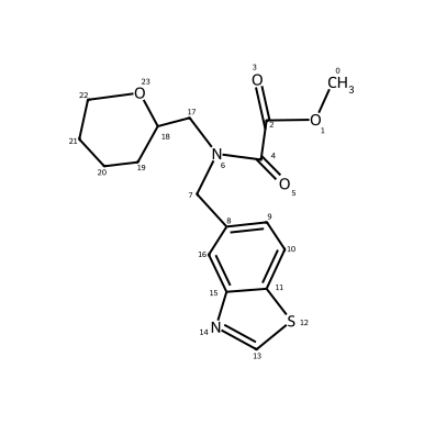 COC(=O)C(=O)N(Cc1ccc2scnc2c1)CC1CCCCO1